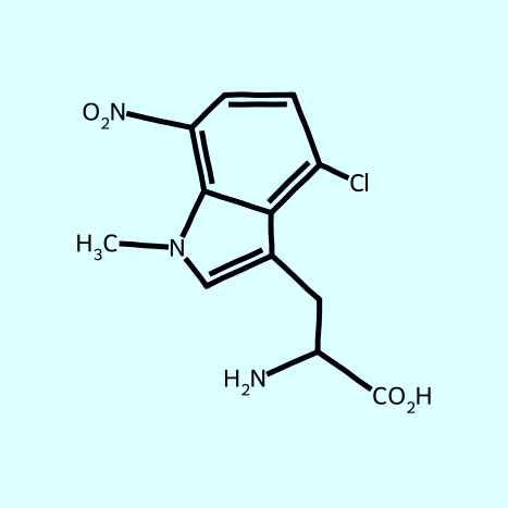 Cn1cc(CC(N)C(=O)O)c2c(Cl)ccc([N+](=O)[O-])c21